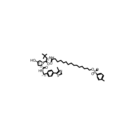 Cc1ccc(S(=O)(=O)OCCCCCCCCCCCCCCC(=O)N[C@H](C(=O)N2C[C@H](O)C[C@H]2C(=O)N[C@@H](C)c2ccc(-c3scnc3C)cc2)C(C)(C)C)cc1